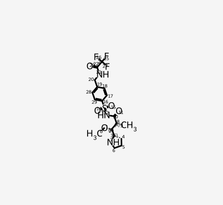 CO[C@@H]([C@@H]1CCCN1)[C@@H](C)C(=O)NS(=O)(=O)c1ccc(CNC(=O)C(F)(F)F)cc1